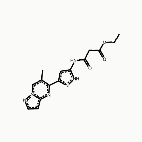 CCOC(=O)CC(=O)Nc1cc(-c2nc3ccnn3cc2C)n[nH]1